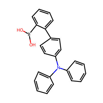 OB(O)c1ccccc1-c1ccc(N(c2ccccc2)c2ccccc2)cc1